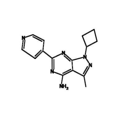 Cc1nn(C2CCC2)c2nc(-c3ccncc3)nc(N)c12